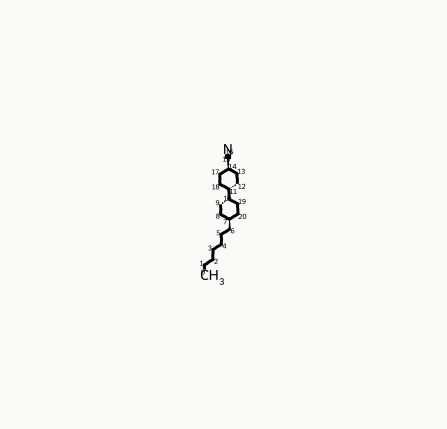 CCCCCCC[C@H]1CC[C@H]([C@H]2CC[C@H](C#N)CC2)CC1